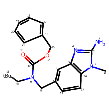 Cn1c(N)nc2cc(CN(CC(C)(C)C)C(=O)OCc3ccccc3)ccc21